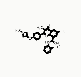 Cc1cc(C(C)Nc2ccccc2C)c2oc(-c3ccc(OC4CN(C)C4)cc3)c(C)c(=O)c2c1